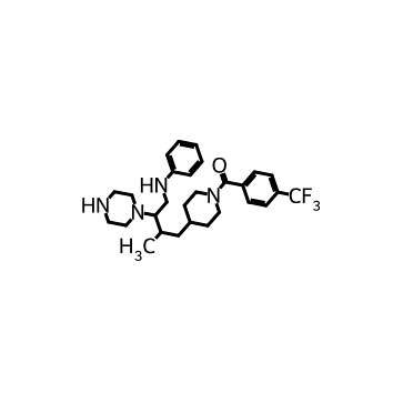 CC(CC1CCN(C(=O)c2ccc(C(F)(F)F)cc2)CC1)C(CNc1ccccc1)N1CCNCC1